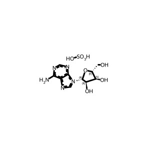 Nc1ncnc2c1ncn2[C@@H]1O[C@H](CO)[C@@H](O)[C@H]1O.O=S(=O)(O)O